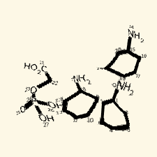 NC1CCCCC1.NC1CCCCC1.NC1CCCCC1.O=C(O)COP(=O)(O)O